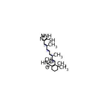 CNS(=O)(=O)C1=C(/C=C/C(C)=C/C=C/C(C)=C/c2nn[nH]c2S)C(C)(C)CCC1